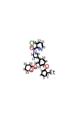 CCc1ccccc1Oc1ccc(C2CCN(C(=O)c3ncccc3Cl)C2)c(COC2CCCCO2)c1